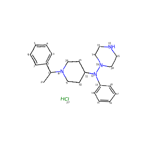 CC(c1ccccc1)N1CCC(N(c2ccccc2)N2CCNCC2)CC1.Cl